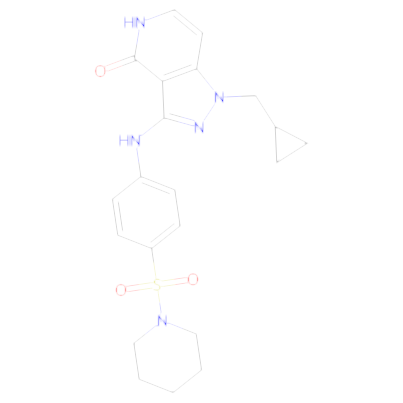 O=c1[nH]ccc2c1c(Nc1ccc(S(=O)(=O)N3CCCCC3)cc1)nn2CC1CC1